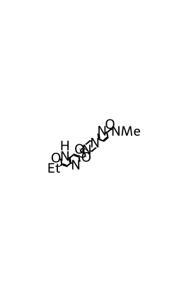 CCc1cc2ncc(S(=O)(=O)N3CCN(c4ccc(C(=O)NC)nc4)CC3)cc2[nH]c1=O